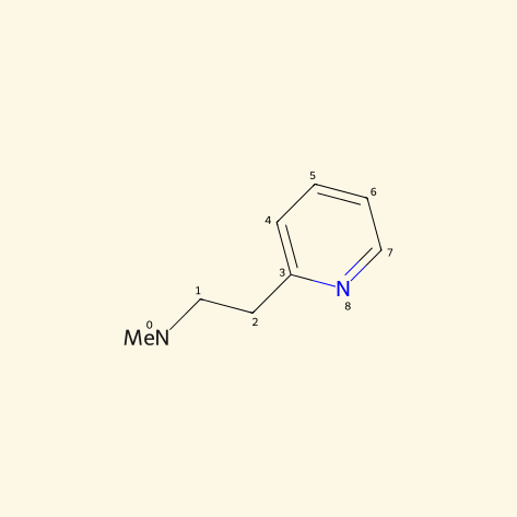 [CH2-][NH2+]CCc1ccccn1